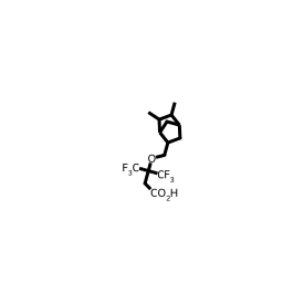 CC1C2CC(COC(CC(=O)O)(C(F)(F)F)C(F)(F)F)C(C2)C1C